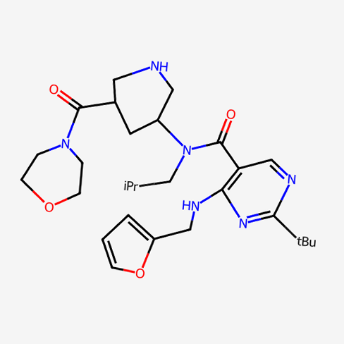 CC(C)CN(C(=O)c1cnc(C(C)(C)C)nc1NCc1ccco1)C1CNCC(C(=O)N2CCOCC2)C1